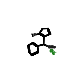 COC(C1=[C]([Ti+2])CC=C1)c1ccccc1.[Cl-].[Cl-]